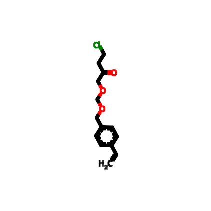 C=Cc1ccc(COCOCC(=O)CCCl)cc1